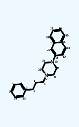 c1ccc(CCCN2CCN(c3ccc4ccccc4c3)CC2)cc1